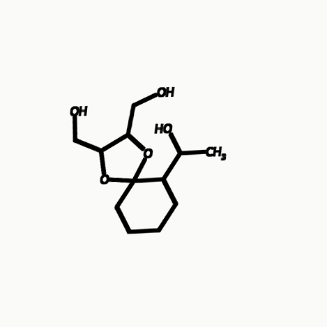 CC(O)C1CCCCC12OC(CO)C(CO)O2